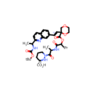 CC(NC(=O)C(OC(=O)C1(/C=C/c2ccc3ccc(C(C)NC(=O)OC(C)(C)C)nc3c2)COCCO1)C(C)C)C(=O)N1CCC[C@@H](C(=O)O)N1